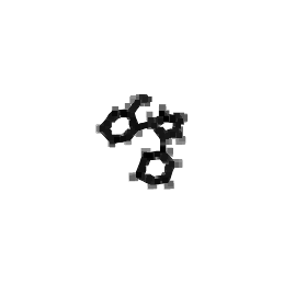 CC(C)c1ccccc1-n1nnnc1-c1ccccc1